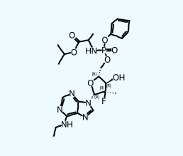 CCNc1ncnc2c1ncn2[C@@H]1O[C@H](COP(=O)(NC(C)C(=O)OC(C)C)Oc2ccccc2)[C@@H](O)[C@@]1(C)F